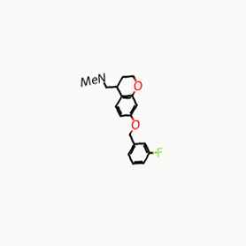 CNCC1CCOc2cc(OCc3cccc(F)c3)ccc21